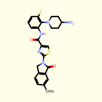 COc1ccc2c(c1)C(=O)N(c1nc(C(=O)Nc3cccc(F)c3N3CCC(N)CC3)cs1)C2